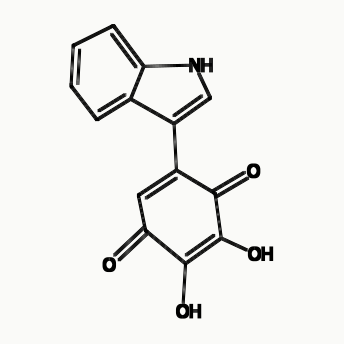 O=C1C=C(c2c[nH]c3ccccc23)C(=O)C(O)=C1O